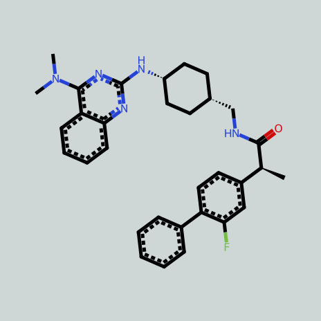 C[C@H](C(=O)NC[C@H]1CC[C@@H](Nc2nc(N(C)C)c3ccccc3n2)CC1)c1ccc(-c2ccccc2)c(F)c1